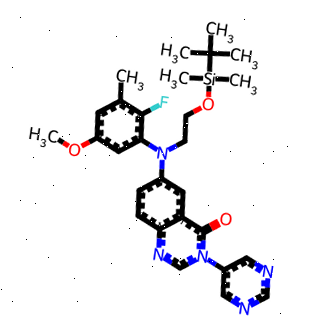 COc1cc(C)c(F)c(N(CCO[Si](C)(C)C(C)(C)C)c2ccc3ncn(-c4cncnc4)c(=O)c3c2)c1